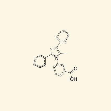 Cc1c(-c2ccccc2)cc(-c2ccccc2)n1-c1cccc(C(=O)O)c1